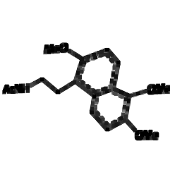 COc1ccc2c(OC)c(OC)ccc2c1CCNC(C)=O